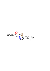 CCOC(=O)C1=C2SCC(=CC(=O)NC)N2CC1